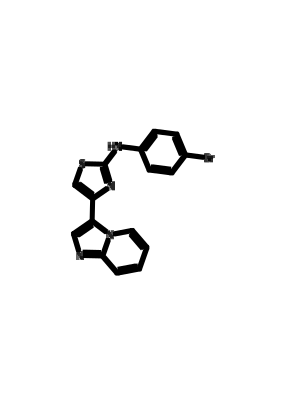 Brc1ccc(Nc2nc(-c3cnc4ccccn34)cs2)cc1